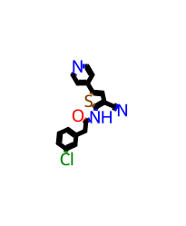 N#Cc1cc(-c2ccncc2)sc1NC(=O)Cc1cccc(Cl)c1